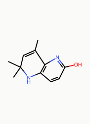 CC1=CC(C)(C)Nc2ccc(O)nc21